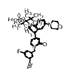 CC(C)(C)C(OP(=O)(O)O)(n1cc(-c2ccn(Cc3cc(F)cc(Br)c3)c(=O)c2)c2cc(N3CCOCC3)cnc21)C(C)(C)C